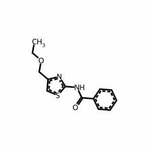 CCOCc1csc(NC(=O)c2ccccc2)n1